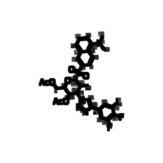 CC(=O)OCC1O[C@H](S(=O)(=O)c2ccc3c(N(C)C)cccc3c2)C(C)[C@@H](n2cc(-c3cc(F)c(F)c(F)c3)nn2)[C@H]1OC(C)=O